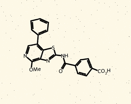 COc1ncc(-c2ccccc2)c2sc(NC(=O)c3ccc(C(=O)O)cc3)nc12